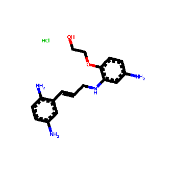 Cl.Nc1ccc(N)c(C=CCNc2cc(N)ccc2OCCO)c1